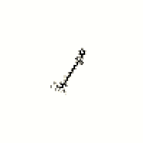 CC(C)C[C@H](N)C(=O)NCCCCCCCCCCC(=O)NCc1ccncc1